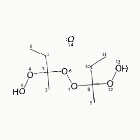 CCC(C)(OO)OOC(C)(CC)OO.[O]